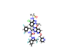 Cn1nc(N[S+](C)[O-])c2c(Cl)ccc(-n3c(C(Cc4cc(F)cc(F)c4)NC(=O)Cn4nc(C(F)F)c5c4C(F)(F)C4CC54)nc4nc(OCc5cccnc5)ccc4c3=O)c21